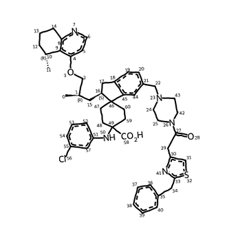 C[C@@H](COc1ccnc2c1[C@H](C)CCC2)C[C@H]1Cc2ccc(CN3CCN(C(=O)Cc4csc(Cc5ccccc5)n4)CC3)cc2C12CCC(Nc1cccc(Cl)c1)(C(=O)O)CC2